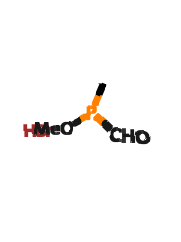 Br.COP(C)C=O